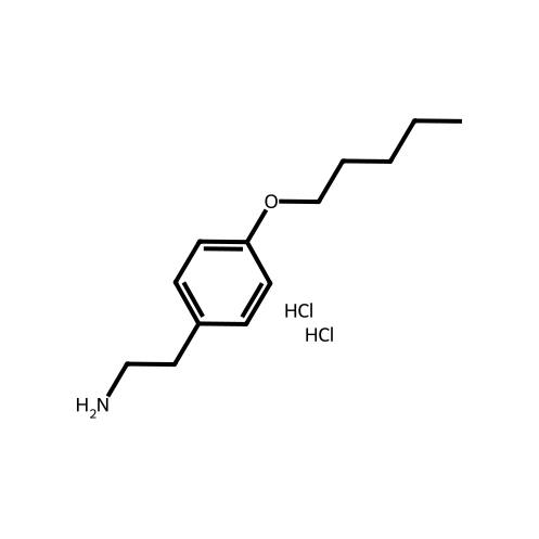 CCCCCOc1ccc(CCN)cc1.Cl.Cl